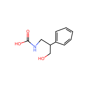 O=C(O)NCC(CO)c1ccccc1